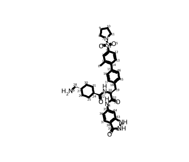 Cc1cc(S(=O)(=O)N2CCCC2)ccc1-c1ccc(C[C@H](NC(=O)[C@H]2CC[C@H](CN)CC2)C(=O)Nc2ccc3c(=O)[nH][nH]c3c2)cc1